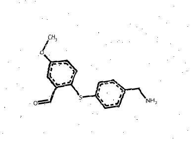 COc1ccc(Sc2ccc(CN)cc2)c(C=O)c1